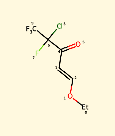 CCOC=CC(=O)C(F)(Cl)C(F)(F)F